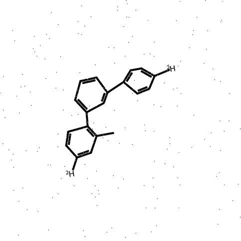 [2H]c1ccc(-c2cccc(-c3ccc([2H])cc3C)c2)cc1